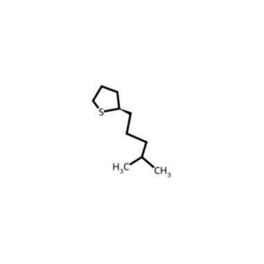 CC(C)CCC[C@@H]1CCCS1